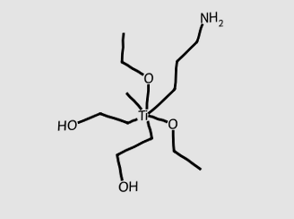 CC[O][Ti]([CH3])([CH2]CO)([CH2]CO)([CH2]CCN)[O]CC